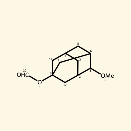 COC1C2CC3CC1CC(OC=O)(C3)C2